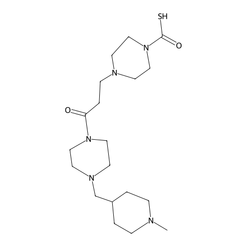 CN1CCC(CN2CCN(C(=O)CCN3CCN(C(=O)S)CC3)CC2)CC1